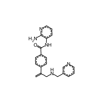 C=C(CNCc1cccnc1)c1ccc(C(=O)Nc2cccnc2N)cc1